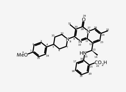 COc1ccc(C2CCN(c3nc4c([C@@H](C)Nc5ccccc5C(=O)O)cc(C)cn4c(=O)c3C)CC2)cc1